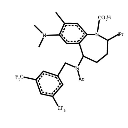 CC(=O)N(Cc1cc(C(F)(F)F)cc(C(F)(F)F)c1)C1CCC(C(C)C)N(C(=O)O)c2cc(C)c(N(C)C)cc21